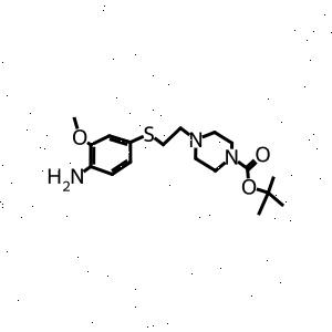 COc1cc(SCCN2CCN(C(=O)OC(C)(C)C)CC2)ccc1N